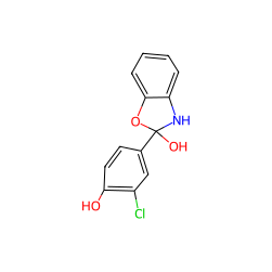 Oc1ccc(C2(O)Nc3ccccc3O2)cc1Cl